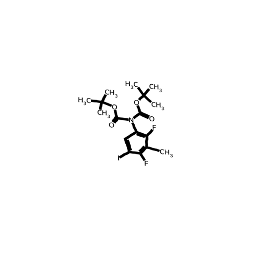 Cc1c(F)c(I)cc(N(C(=O)OC(C)(C)C)C(=O)OC(C)(C)C)c1F